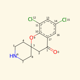 O=C1CC2(CCNCC2)Oc2c(Cl)cc(Cl)cc21